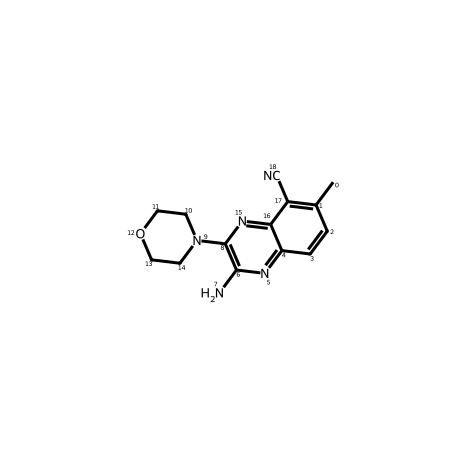 Cc1ccc2nc(N)c(N3CCOCC3)nc2c1C#N